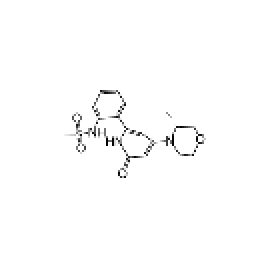 C[C@@H]1COCCN1c1cc(-c2ccccc2NS(C)(=O)=O)[nH]c(=O)c1